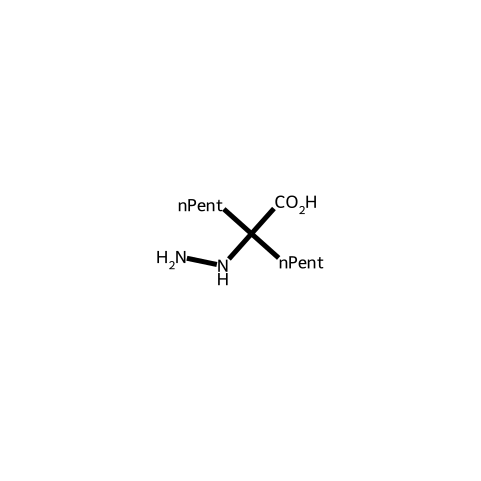 CCCCCC(CCCCC)(NN)C(=O)O